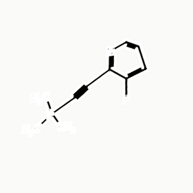 C[Si](C)(C)C#Cc1ncccc1F